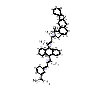 C=C(C)C1=C/C(=C/C=C(\C)c2c3ccccc3c(/C(C)=C/C=C3\Cc4ccc5cc6oc7ccccc7c6cc5c4C3(C)C)c3ccccc23)CC=C1